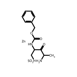 CC(N)C(=O)C(CS(=O)(=O)O)NC(=O)OCc1ccccc1.[Zn]